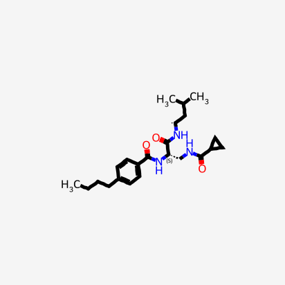 CCCCc1ccc(C(=O)N[C@@H](CNC(=O)C2CC2)C(=O)N[CH]CC(C)C)cc1